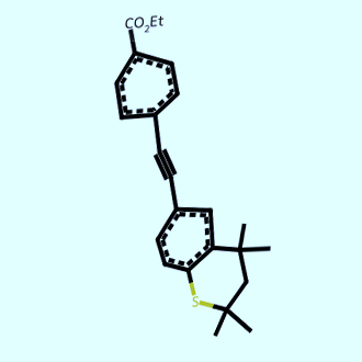 CCOC(=O)c1ccc(C#Cc2ccc3c(c2)C(C)(C)CC(C)(C)S3)cc1